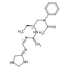 C=C(/N=C\N=C1/CNCN1)N[C@@H](CC)CN(C(C)=O)c1ccccc1